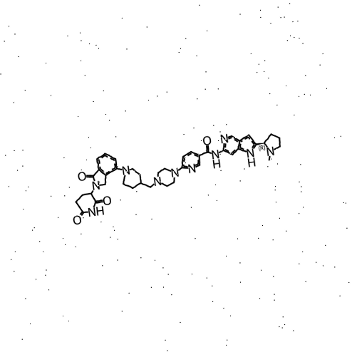 CN1CCC[C@@H]1c1cc2cnc(NC(=O)c3ccc(N4CCN(CC5CCN(c6cccc7c6CN(C6CCC(=O)NC6=O)C7=O)CC5)CC4)nc3)cc2[nH]1